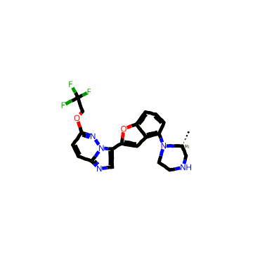 C[C@@H]1CNCCN1c1cccc2oc(-c3cnc4ccc(OCC(F)(F)F)nn34)cc12